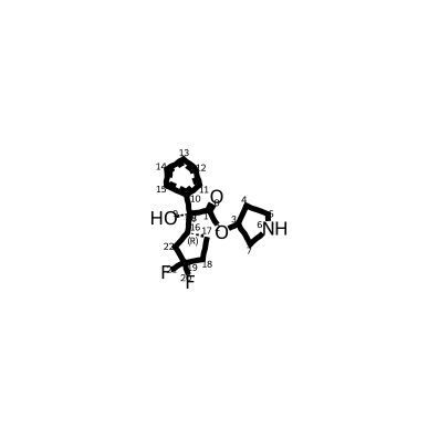 O=C(OC1CCNC1)[C@](O)(c1ccccc1)[C@@H]1CCC(F)(F)C1